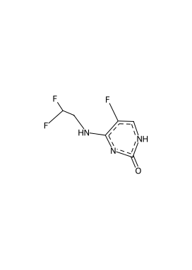 O=c1nc(NCC(F)F)c(F)c[nH]1